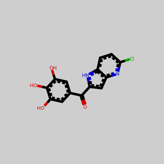 O=C(c1cc(O)c(O)c(O)c1)c1cc2nc(Cl)ccc2[nH]1